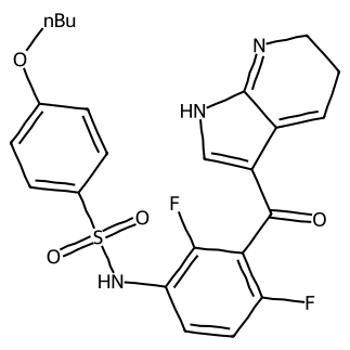 CCCCOc1ccc(S(=O)(=O)Nc2ccc(F)c(C(=O)c3c[nH]c4c3=CCCN=4)c2F)cc1